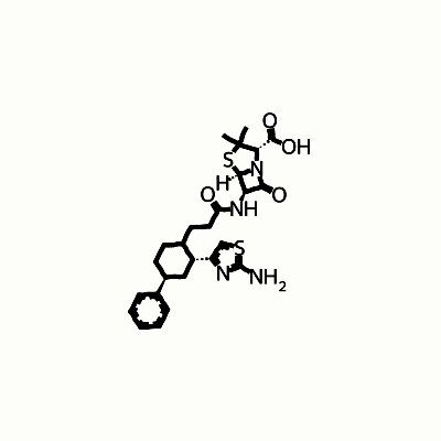 CC1(C)S[C@@H]2[C@H](NC(=O)CCC3CC[C@H](c4ccccc4)C[C@H]3c3csc(N)n3)C(=O)N2[C@H]1C(=O)O